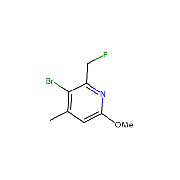 COc1cc(C)c(Br)c(CF)n1